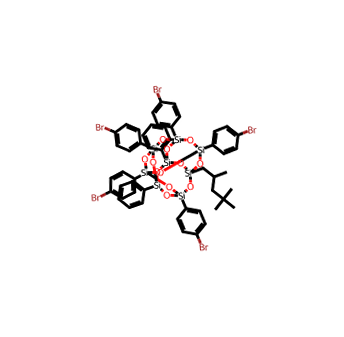 CC(CC(C)(C)C)C[Si]12O[Si]3(c4ccccc4)O[Si]4(c5ccccc5)O[Si](c5ccc(Br)cc5)(O1)O[Si]1(c5ccc(Br)cc5)O[Si](c5ccc(Br)cc5)(O2)O[Si](c2ccc(Br)cc2)(O3)O[Si](c2ccc(Br)cc2)(O4)O1